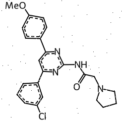 COc1ccc(-c2cc(-c3cccc(Cl)c3)nc(NC(=O)CN3CCCC3)n2)cc1